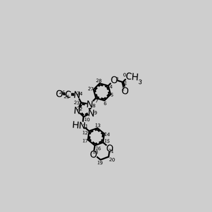 CC(=O)Oc1ccc(-n2nc(Nc3ccc4c(c3)OCCO4)nc2N=C=O)cc1